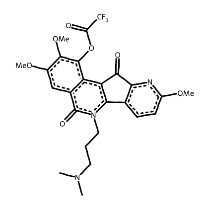 COc1ccc2c(n1)C(=O)c1c-2n(CCCN(C)C)c(=O)c2cc(OC)c(OC)c(OC(=O)C(F)(F)F)c12